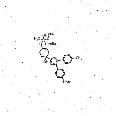 CCCCOP(C)(O)(OCCCC)OC1CCC(O)(c2cc(-c3ccc(C)cc3)n(-c3ccc(OC)cc3)n2)CC1